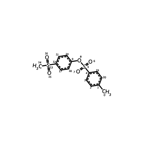 Cc1ccc(S(=O)(=O)Oc2ccc(S(C)(=O)=O)cc2)cc1